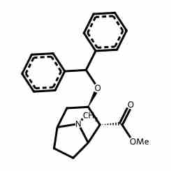 COC(=O)[C@@H]1C2CCC(C[C@H]1OC(c1ccccc1)c1ccccc1)N2C